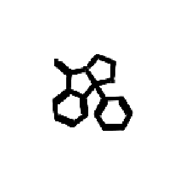 S=C1c2ccccc2C2(c3ccccc3)SCCN12